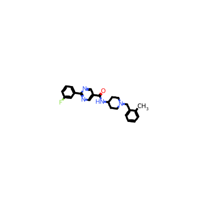 Cc1ccccc1CN1CCC(NC(=O)c2cnc(-c3cccc(F)c3)nc2)CC1